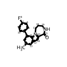 Cc1cc(-c2ccc(F)cc2)c2c(c1)cc1n2CCCNC1=O